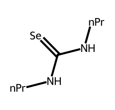 CCCNC(=[Se])NCCC